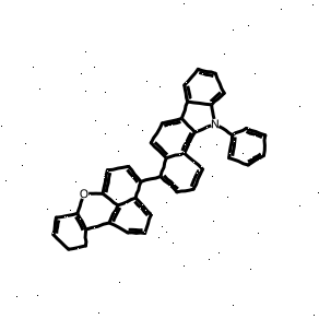 C1=CC2=C(CC1)c1cccc3c(-c4cccc5c4ccc4c6ccccc6n(-c6ccccc6)c54)ccc(c13)O2